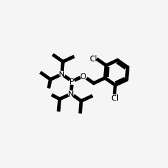 CC(C)N(C(C)C)P(OCc1c(Cl)cccc1Cl)N(C(C)C)C(C)C